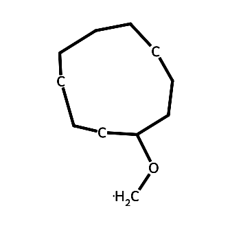 [CH2]OC1CCCCCCCCC1